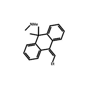 CCC=C1c2ccccc2C(C)(C)c2ccccc21.CNC